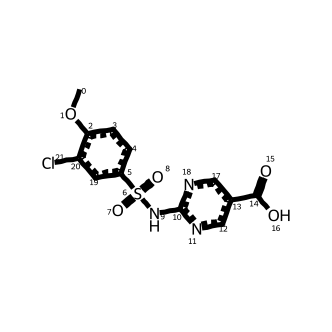 COc1ccc(S(=O)(=O)Nc2ncc(C(=O)O)cn2)cc1Cl